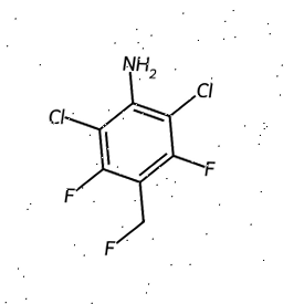 Nc1c(Cl)c(F)c(CF)c(F)c1Cl